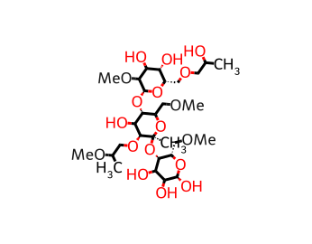 COCC1O[C@@](C)(O[C@H]2C(O)C(O)[C@H](O)O[C@H]2COC)[C@@H](OCC(C)OC)C(O)[C@@H]1O[C@@H]1O[C@@H](COCC(C)O)[C@@H](O)C(O)C1OC